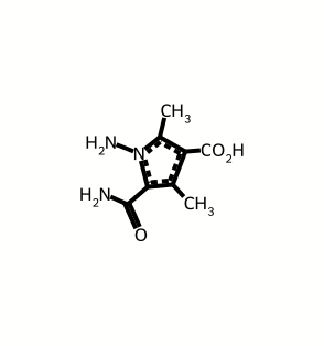 Cc1c(C(=O)O)c(C)n(N)c1C(N)=O